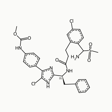 COC(=O)Nc1ccc(-c2nc([C@H](Cc3ccccc3)NC(=O)CCc3cc(Cl)ccc3C(N)S(C)(=O)=O)[nH]c2Cl)cc1